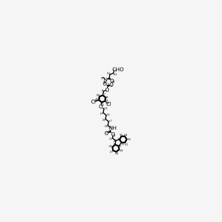 CN(OC(=O)OCc1cc(Cl)c(OCCCCCCNC(=O)OCC2c3ccccc3-c3ccccc32)c(Cl)c1)C(=O)CCC=O